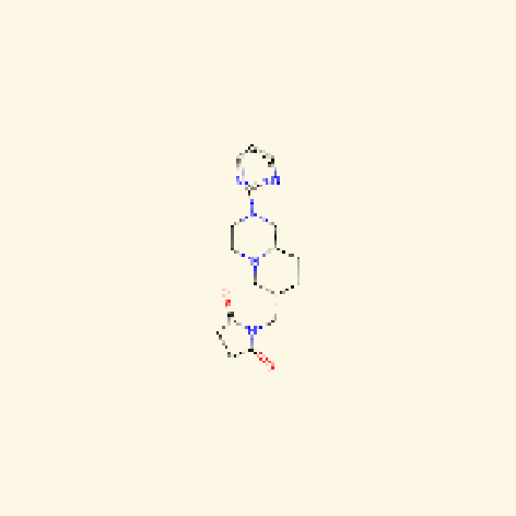 O=C1CCC(=O)N1C[C@H]1CCC2CN(c3ncccn3)CCN2C1